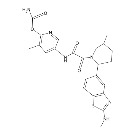 CNc1nc2cc(C3CCC(C)CN3C(=O)C(=O)Nc3cnc(OC(N)=O)c(C)c3)ccc2s1